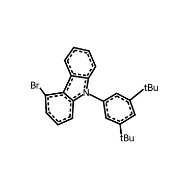 CC(C)(C)c1cc(-n2c3ccccc3c3c(Br)cccc32)cc(C(C)(C)C)c1